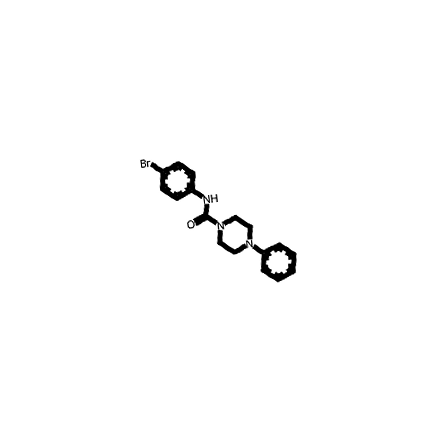 O=C(Nc1ccc(Br)cc1)N1CCN(c2ccccc2)CC1